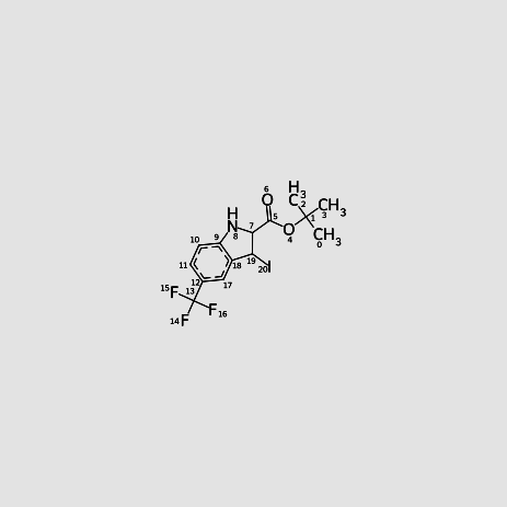 CC(C)(C)OC(=O)C1Nc2ccc(C(F)(F)F)cc2C1I